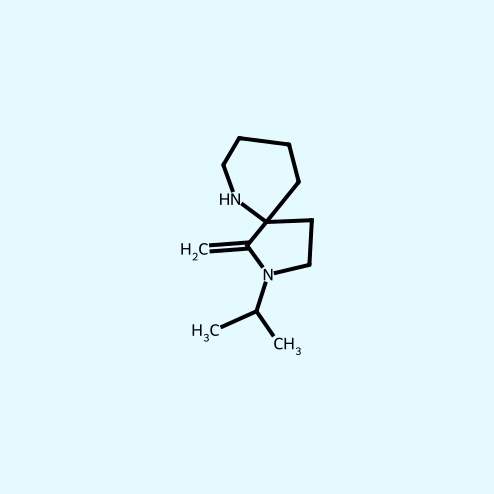 C=C1N(C(C)C)CCC12CCCCN2